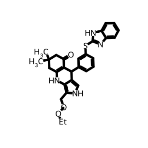 CCOOCc1[nH]cc2c1NC1=C(C(=O)CC(C)(C)C1)C2c1cccc(Sc2nc3ccccc3[nH]2)c1